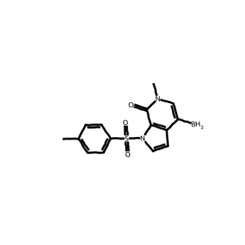 Bc1cn(C)c(=O)c2c1ccn2S(=O)(=O)c1ccc(C)cc1